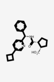 O=C(O)[C@H]1CCC[C@H]1C(=O)N[C@@H](c1ccccc1)c1ccc(C2CCC2)cn1